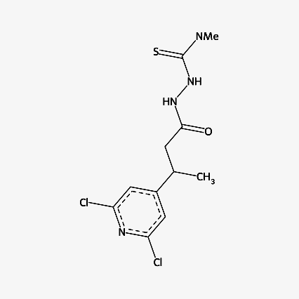 CNC(=S)NNC(=O)CC(C)c1cc(Cl)nc(Cl)c1